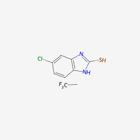 CC(F)(F)F.Sc1nc2cc(Cl)ccc2[nH]1